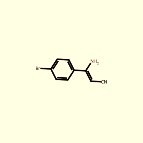 N#CC=C(N)c1ccc(Br)cc1